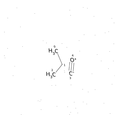 CCC.[C-]#[O+]